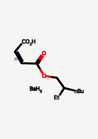 CCCCC(CC)COC(=O)/C=C\C(=O)O.[BaH2]